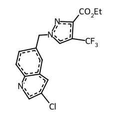 CCOC(=O)c1nn(Cc2ccc3ncc(Cl)cc3c2)cc1C(F)(F)F